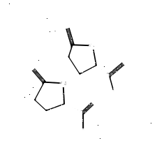 O=C1CC[C@@H](C(=O)[O-])N1.O=C1CC[C@@H](C(=O)[O-])N1.[Sr+2]